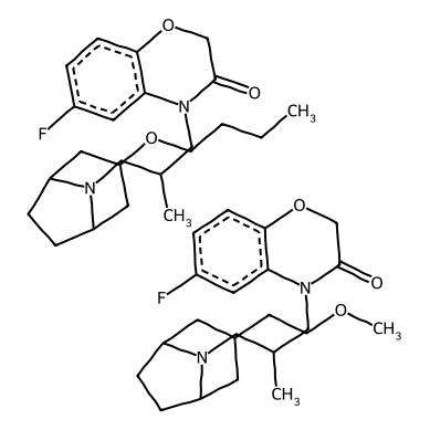 CCCCOC1CC2CCC(C1)N2CC(C)CN1C(=O)COc2ccc(F)cc21.COCCC1CC2CCC(C1)N2CC(C)CN1C(=O)COc2ccc(F)cc21